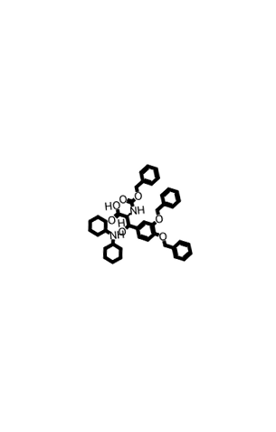 C1CCC(NC2CCCCC2)CC1.O=C(N[C@H](C(=O)O)C(O)c1ccc(OCc2ccccc2)c(OCc2ccccc2)c1)OCc1ccccc1